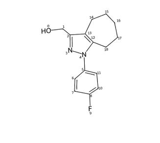 OCc1nn(-c2ccc(F)cc2)c2c1CCCCC2